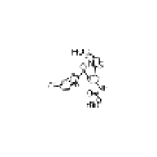 CC(C)(C)OC(=O)N[C@@H]1C[C@H](c2nc(C(=O)O)cs2)N(C(=O)c2cn3cc(Cl)ccc3n2)C1